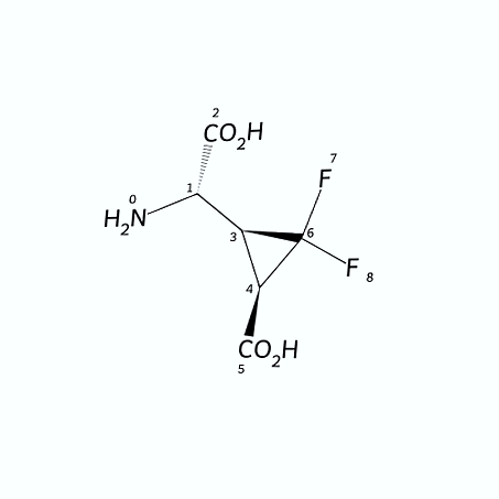 N[C@H](C(=O)O)[C@@H]1[C@H](C(=O)O)C1(F)F